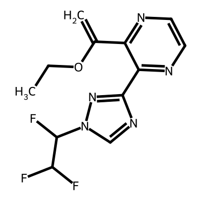 C=C(OCC)c1nccnc1-c1ncn(C(F)C(F)F)n1